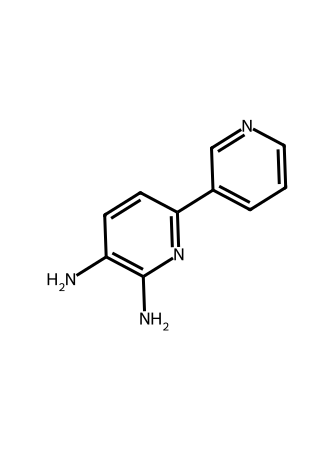 Nc1ccc(-c2cccnc2)nc1N